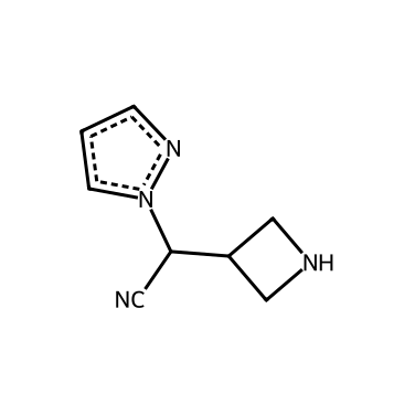 N#CC(C1CNC1)n1cccn1